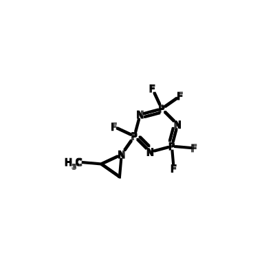 CC1CN1P1(F)=NP(F)(F)=NP(F)(F)=N1